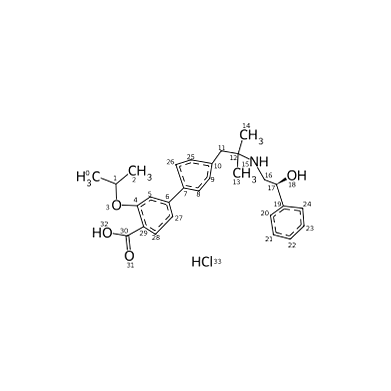 CC(C)Oc1cc(-c2ccc(CC(C)(C)NC[C@@H](O)c3ccccc3)cc2)ccc1C(=O)O.Cl